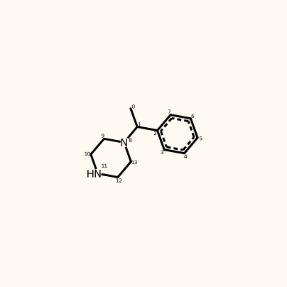 [CH2]C(c1ccccc1)N1CCNCC1